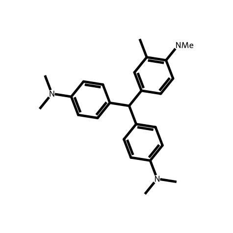 CNc1ccc(C(c2ccc(N(C)C)cc2)c2ccc(N(C)C)cc2)cc1C